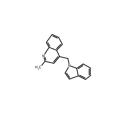 Cc1cc(Cn2ccc3c[c]ccc32)c2ccccc2n1